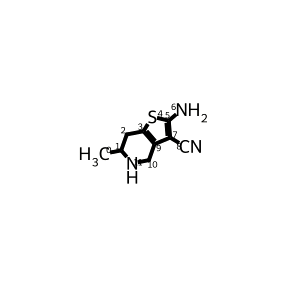 CC1Cc2sc(N)c(C#N)c2CN1